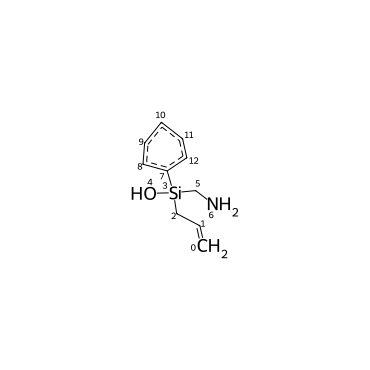 C=CC[Si](O)(CN)c1ccccc1